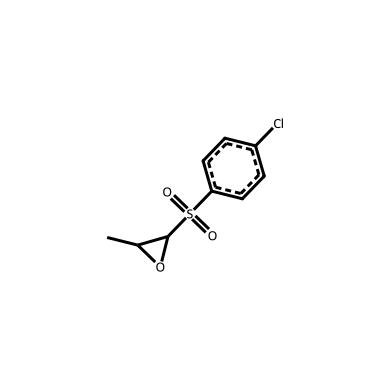 CC1OC1S(=O)(=O)c1ccc(Cl)cc1